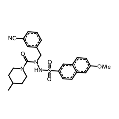 COc1ccc2cc(S(=O)(=O)NN(Cc3cccc(C#N)c3)C(=O)N3CCC(C)CC3)ccc2c1